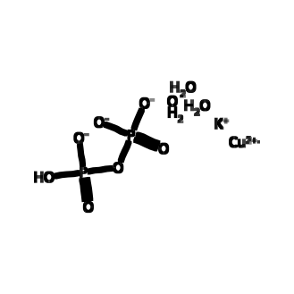 O.O.O.O=P([O-])([O-])OP(=O)([O-])O.[Cu+2].[K+]